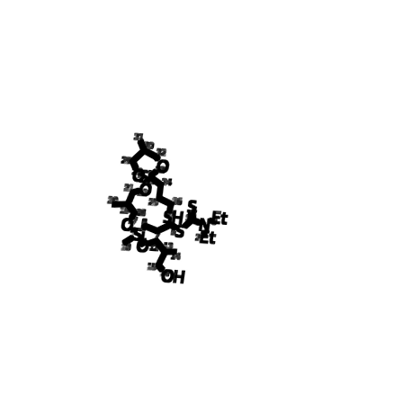 CCN(CC)C(=S)SCCC[Si](C)(OCC(C)CO)OCC(C)CO[Si]1(CCCS)OCC(C)CO1